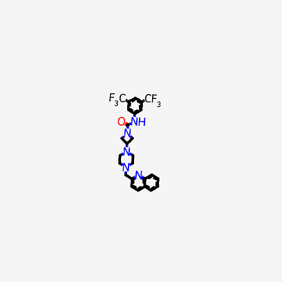 O=C(Nc1cc(C(F)(F)F)cc(C(F)(F)F)c1)N1CC(N2CCN(Cc3ccc4ccccc4n3)CC2)C1